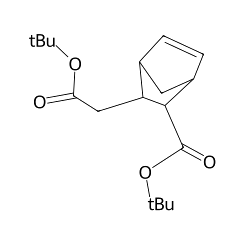 CC(C)(C)OC(=O)CC1C2C=CC(C2)C1C(=O)OC(C)(C)C